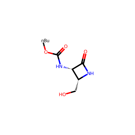 CCCCOC(=O)N[C@@H]1C(=O)N[C@@H]1CO